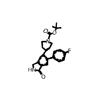 CC(C)(C)OC(=O)N1CC=C(c2cc3c(cc2-c2ccc(F)cc2)C(=O)NC3)CC1